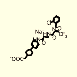 O=C([O-])CC1CCC(c2ccc(NC(=O)CCNC(=O)c3nc(-c4ccccc4Cl)oc3C(F)(F)F)cc2)CC1.[Na+]